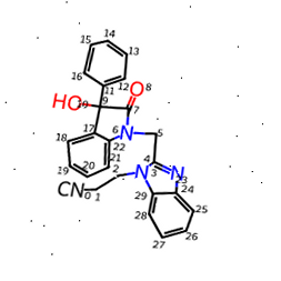 [C-]#[N+]CCn1c(CN2C(=O)C(O)(c3ccccc3)c3ccccc32)nc2ccccc21